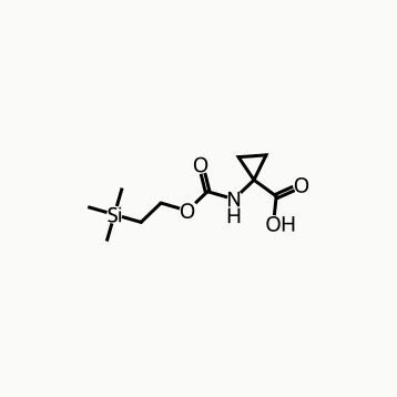 C[Si](C)(C)CCOC(=O)NC1(C(=O)O)CC1